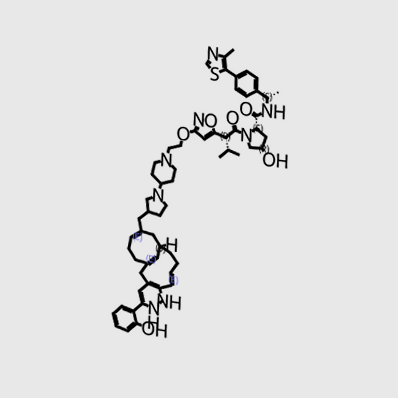 Cc1ncsc1-c1ccc([C@H](C)NC(=O)[C@@H]2C[C@@H](O)CN2C(=O)[C@@H](c2cc(OCCN3CCC(N4CCC(C/C5=C/CC/C6=C\[C@@H](CC/C=C/C7=C(C=C(c8ccccc8O)NN7)C6)C5)C4)CC3)no2)C(C)C)cc1